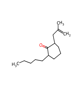 C=C(C)CC1CCCC(CCCCC)C1=O